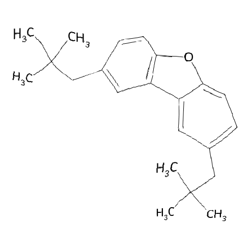 CC(C)(C)Cc1ccc2oc3ccc(CC(C)(C)C)cc3c2c1